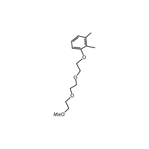 COCCOCCOCCOc1cccc(C)c1C